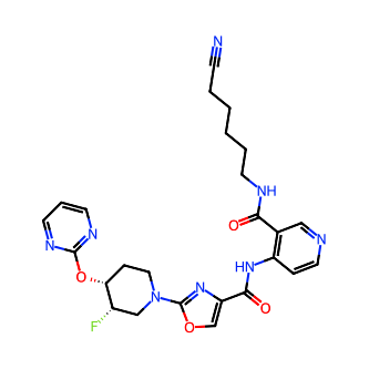 N#CCCCCCNC(=O)c1cnccc1NC(=O)c1coc(N2CC[C@@H](Oc3ncccn3)[C@@H](F)C2)n1